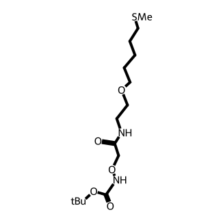 CSCCCCCOCCNC(=O)CONC(=O)OC(C)(C)C